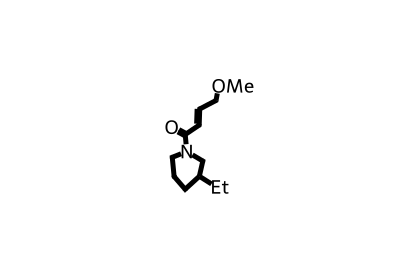 CCC1CCCN(C(=O)/C=C/COC)C1